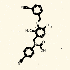 Cc1ncc(CN(C(=O)O)c2ccc(C#N)cc2)c(C)c1OCc1cccc(C#N)c1